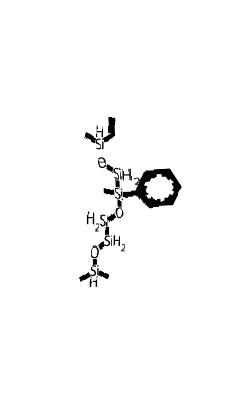 C=C[SiH](C)O[SiH2][Si](C)(O[SiH2][SiH2]O[SiH](C)C)c1ccccc1